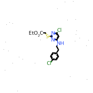 CCOC(=O)CSc1nc(Cl)cc(NCCc2ccc(Cl)cc2)n1